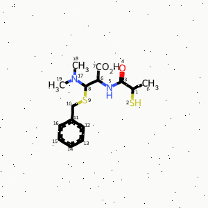 CC(S)C(=O)NC(C(=O)O)C(SCc1ccccc1)N(C)C